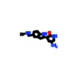 CCNCc1ccc2[nH]c(-c3cc(N)c[nH]c3=O)cc2c1